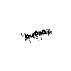 Nc1cc(N)cc(CCC(=Cc2ccc(OC(=O)c3ccc(OC(F)(F)C(F)F)cc3)cc2)C(=O)O)c1